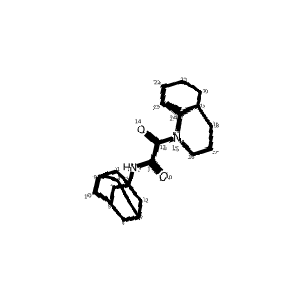 O=C(NC12CC3CC(CC(C3)C1)C2)C(=O)N1CCCC2CCCC=C21